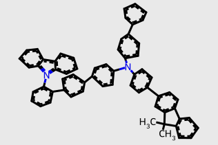 CC1(C)c2ccccc2-c2ccc(-c3ccc(N(c4ccc(-c5ccccc5)cc4)c4ccc(-c5ccc(-c6ccccc6-n6c7ccccc7c7ccccc76)cc5)cc4)cc3)cc21